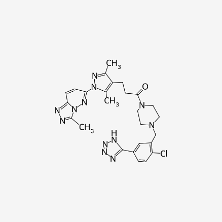 Cc1nn(-c2ccc3nnc(C)n3n2)c(C)c1CCC(=O)N1CCN(Cc2cc(-c3nnn[nH]3)ccc2Cl)CC1